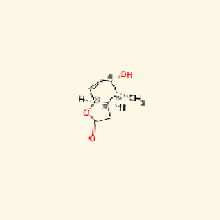 C[C@@H]1[C@H]2CC(=O)O[C@H]2C=C[C@@H]1O